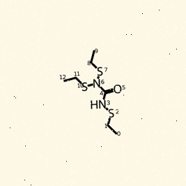 CCSNC(=O)N(SCC)SCC